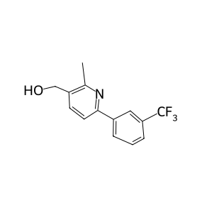 Cc1nc(-c2cccc(C(F)(F)F)c2)ccc1CO